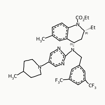 CCOC(=O)N1c2ccc(C)cc2[C@@H](N(Cc2cc(C(F)(F)F)cc(C(F)(F)F)c2)c2ncc(N3CCC(C)CC3)cn2)C[C@H]1CC